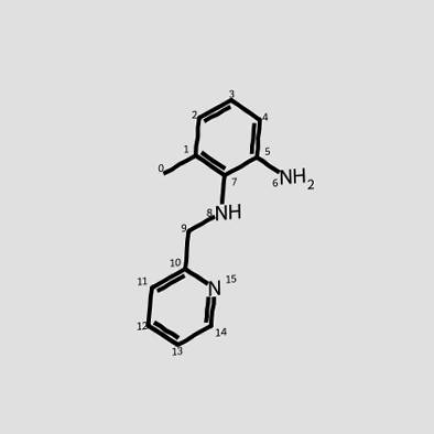 Cc1cccc(N)c1NCc1ccccn1